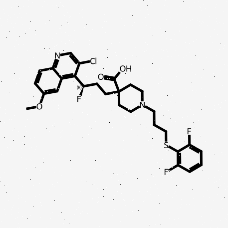 COc1ccc2ncc(Cl)c([C@H](F)CCC3(C(=O)O)CCN(CCCSc4c(F)cccc4F)CC3)c2c1